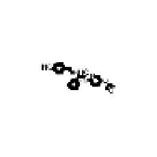 N#Cc1ccc(CCNC(C(=O)Nc2ccc(OC3COC3)cn2)c2ccccc2)cc1